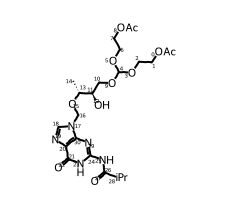 CC(=O)OCCOC(OCCOC(C)=O)OC[C@@H](O)[C@@H](C)OCn1cnc2c(=O)[nH]c(NC(=O)C(C)C)nc21